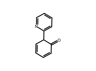 O=C1[C]=CC=CC1c1ccccn1